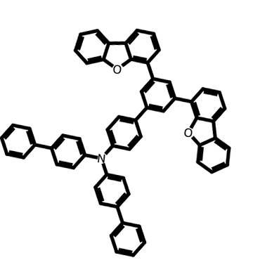 c1ccc(-c2ccc(N(c3ccc(-c4ccccc4)cc3)c3ccc(-c4cc(-c5cccc6c5oc5ccccc56)cc(-c5cccc6c5oc5ccccc56)c4)cc3)cc2)cc1